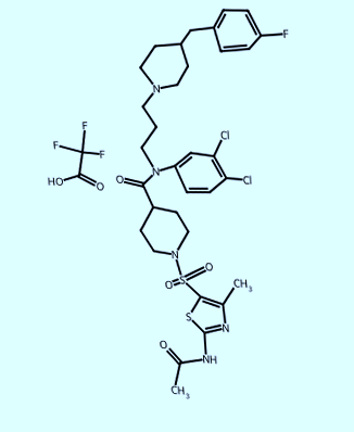 CC(=O)Nc1nc(C)c(S(=O)(=O)N2CCC(C(=O)N(CCCN3CCC(Cc4ccc(F)cc4)CC3)c3ccc(Cl)c(Cl)c3)CC2)s1.O=C(O)C(F)(F)F